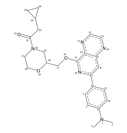 CN(C)c1ccc(-c2cc3nccnc3c(OCC3CN(C(=O)CC4CC4)CCO3)n2)cc1